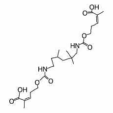 CC(=CCCOC(=O)NCCC(C)CC(C)(C)CNC(=O)OCCC=C(C)C(=O)O)C(=O)O